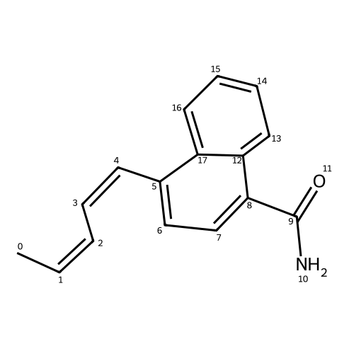 C/C=C\C=C/c1ccc(C(N)=O)c2ccccc12